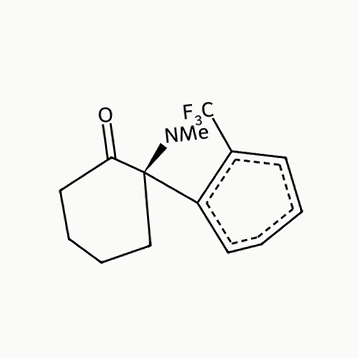 CN[C@@]1(c2ccccc2C(F)(F)F)CCCCC1=O